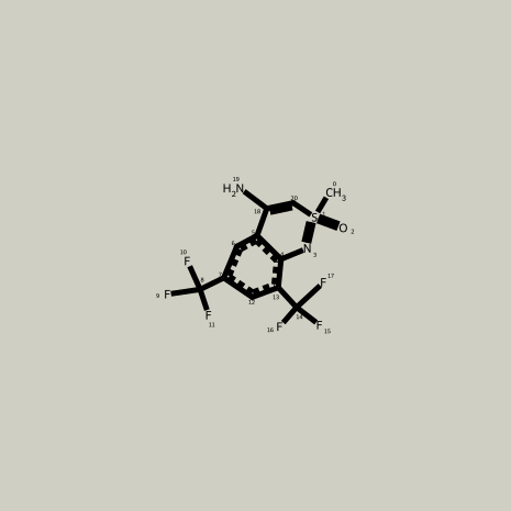 CS1(=O)=Nc2c(cc(C(F)(F)F)cc2C(F)(F)F)C(N)=C1